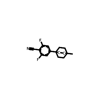 CC12CCC(c3cc(F)c(C#N)c(F)c3)(CC1)CC2